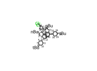 CCCCC1=Cc2c(-c3ccc(C(C)(C)C)cc3)cccc2[CH]1[Hf+2]1([CH]2C(CCCC)=Cc3c(-c4ccc(C(C)(C)C)cc4)cccc32)[CH2]C[CH2]1.[Cl-].[Cl-]